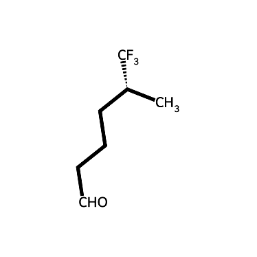 C[C@H](CCCC=O)C(F)(F)F